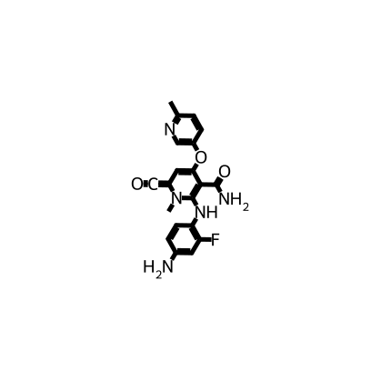 Cc1ccc(OC2=CC(=C=O)N(C)C(Nc3ccc(N)cc3F)=C2C(N)=O)cn1